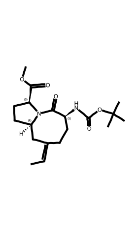 CC=C1CC[C@H](NC(=O)OC(C)(C)C)C(=O)N2[C@H](CC[C@H]2C(=O)OC)C1